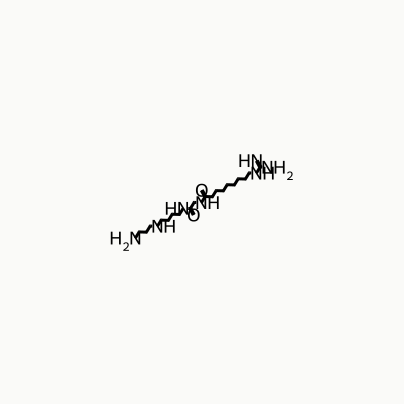 N=C(N)NCCCCCCCCC(=O)NCC(=O)NCCCCNCCCN